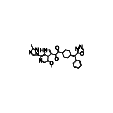 COc1cnc(-n2cnc(C)n2)c2[nH]cc(C(=O)C(=O)C3CCC(=C(c4ccccc4)c4nnco4)CC3)c12